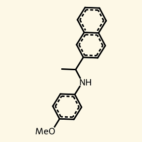 COc1ccc(NC(C)c2ccc3ccccc3c2)cc1